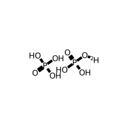 O=P(O)(O)O.[2H]OP(=O)(O)O